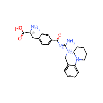 N/C(=N\C(=O)c1ccc(C[C@H](N)C(=O)O)cc1)NCc1ccccc1N1CCCCC1